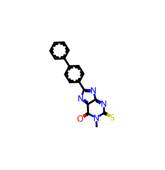 CN1C(=O)C2=NC(c3ccc(-c4ccccc4)cc3)=NC2=NC1=S